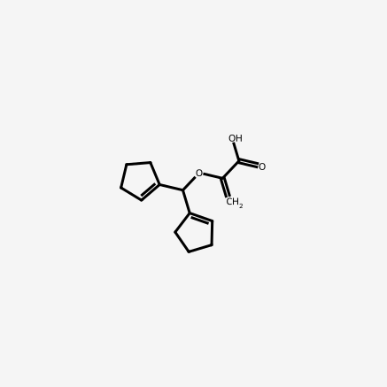 C=C(OC(C1=CCCC1)C1=CCCC1)C(=O)O